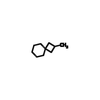 CC1CC2(CCCCC2)C1